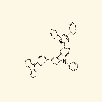 C1#CC(n2c3ccccc3c3ccccc32)C=CC(c2ccc3c(c2)c2cc(-c4nc(-c5ccccc5)cc(C5C=CC=CC5)n4)ccc2n3-c2ccccc2)=C1